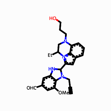 C#CCN1c2c(cc(C=O)cc2OC)NC1c1cc2cccc3c2n1C(CC)CN3CCCO